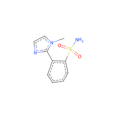 Cn1ccnc1-c1ccccc1S(N)(=O)=O